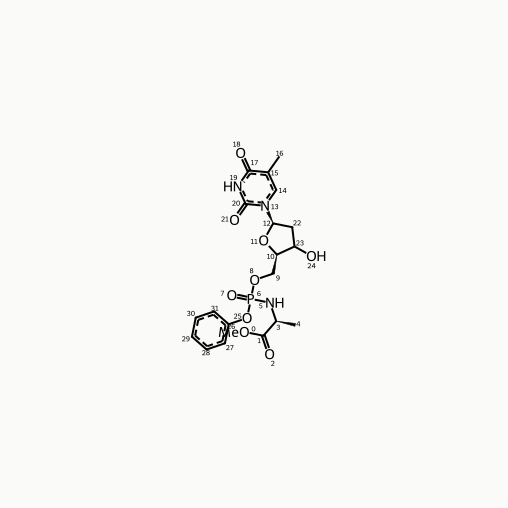 COC(=O)[C@H](C)NP(=O)(OC[C@H]1O[C@@H](n2cc(C)c(=O)[nH]c2=O)CC1O)Oc1ccccc1